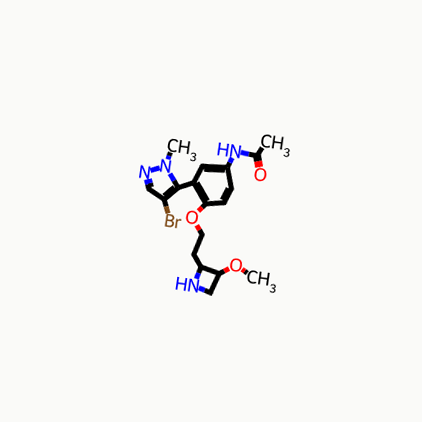 COC1CNC1CCOc1ccc(NC(C)=O)cc1-c1c(Br)cnn1C